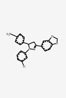 O=[N+]([O-])c1ccc(C2CC(c3ccc4c(c3)OCO4)=NN2c2cccc(Cl)c2)cc1